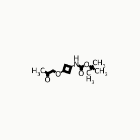 CC(=O)CO[C@H]1C[C@H](NC(=O)OC(C)(C)C)C1